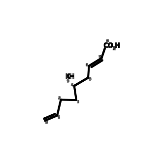 C=CCCCCC=CC(=O)O.[KH]